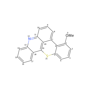 COc1cccc2c1-c1cccc3nc4ccccc4c(c13)S2